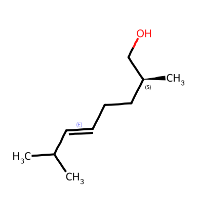 CC(C)/C=C/CC[C@H](C)CO